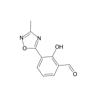 Cc1noc(-c2cccc(C=O)c2O)n1